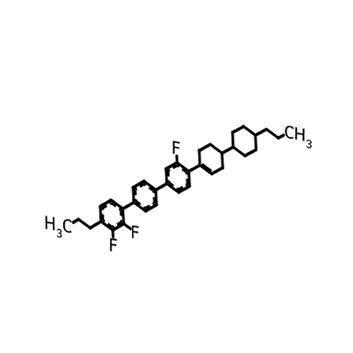 CCCc1ccc(-c2ccc(-c3ccc(C4=CCC(C5CCC(CCC)CC5)CC4)c(F)c3)cc2)c(F)c1F